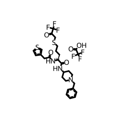 O=C(Cc1ccsc1)N[C@@H](CCCSCC(=O)C(F)(F)F)C(=O)NC1CCN(Cc2ccccc2)CC1.O=C(O)C(F)(F)F